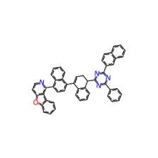 C1=C(c2ccc(-c3nccc4oc5ccccc5c34)c3ccccc23)c2ccccc2C(c2nc(-c3ccccc3)nc(-c3ccc4ccccc4c3)n2)C1